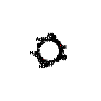 CC(=O)N[C@H]1CSCc2cccc(c2)CSC[C@H](C(N)=O)NC(=O)[C@H]([C@@H](C)O)NC(=O)[C@](C)(C2CCCCC2)NC(=O)[C@H](Cc2ccc(O)cc2)NC(=O)[C@H](C)NC(=O)C(C)(C)NC(=O)[C@H](Cc2c[nH]c3ncccc23)NC(=O)[C@H]([C@@H](C)O)NC(=O)[C@@H]2CCCN2C(=O)[C@H](Cc2ccc(O)cc2)NC(=O)[C@H](C(C)(C)C)NC1=O